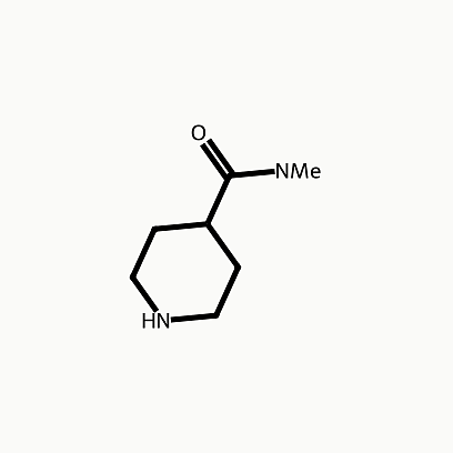 [CH2]NC(=O)C1CCNCC1